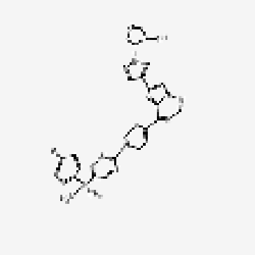 C[C@](N)(c1ccc(F)cc1)c1cnc(N2CC=C(c3ncnn4cc(-c5cnn([C@@H]6COC[C@H]6O)c5)cc34)CC2)nc1